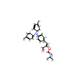 CC1=CCC(N(c2ccc(C)cc2)c2ccc(/C=C(\C=O)OC=NC(C)C)cc2)C#C1